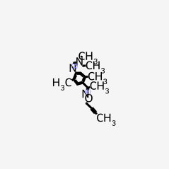 CC#CCO/N=C(\C)c1cc(C)c(/N=C\N(C)CC)cc1C